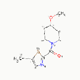 COC1CCN(C(=O)c2ncc(C)s2)CC1